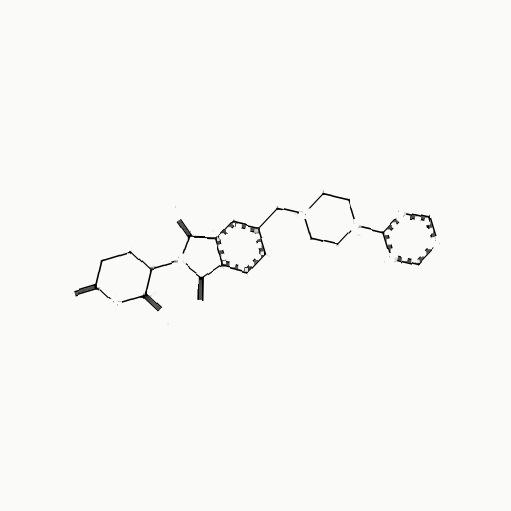 O=C1CCC(N2C(=O)c3ccc(CN4CCN(c5ncncn5)CC4)cc3C2=O)C(=O)N1